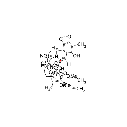 C=CCOc1cc2c(cc1OC)[C@@]1(CS[C@@H]3c4c(O)c(C)c5c(c4[C@H](COC1=O)N1C3[C@@H]3c4c(cc(C)c(OC)c4OCC=C)C[C@@H]([C@@H]1C#N)N3C)OCO5)NCC2